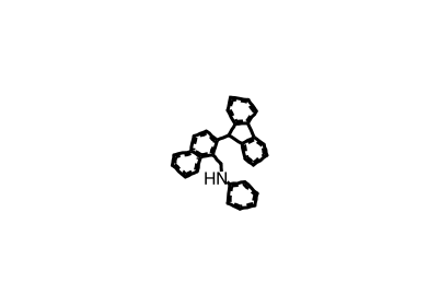 c1ccc(NCc2c(C3c4ccccc4-c4ccccc43)ccc3ccccc23)cc1